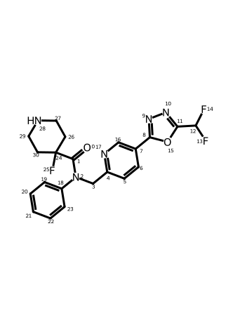 O=C(N(Cc1ccc(-c2nnc(C(F)F)o2)cn1)c1ccccc1)C1(F)CCNCC1